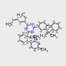 C=C/C(=C\C=C/C)c1nc(-c2ccc3c(c2)C(C)(C)c2ccccc2-3)nc(C2(C)C=CC=CC2c2ccc(C)nc2C)n1